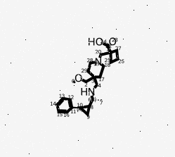 COCC1(CN[C@H](C)C2C[C@H]2c2ccccc2)CCN(CC2(C(=O)O)CCC2)CC1